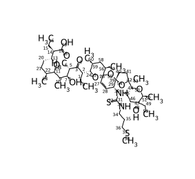 CCC(C(=O)[C@@H](C)[C@@H](O)[C@H](C)[C@@H]1O[C@@H]([C@@H](CC)C(=O)O)CC[C@@H]1C)[C@H]1O[C@]2(C=C[C@@H](NC(=S)NCCCSC)[C@]3(CC[C@@](C)([C@H]4CC[C@](O)(CC)[C@H](C)O4)O3)O2)[C@H](C)C[C@@H]1C